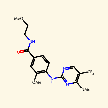 CNc1nc(Nc2ccc(C(=O)NCCOC)cc2OC)ncc1C(F)(F)F